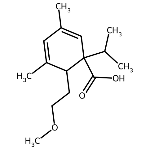 COCCC1C(C)=CC(C)=CC1(C(=O)O)C(C)C